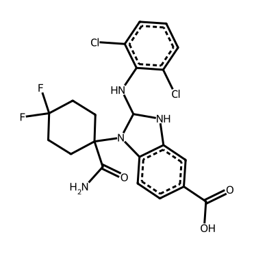 NC(=O)C1(N2c3ccc(C(=O)O)cc3NC2Nc2c(Cl)cccc2Cl)CCC(F)(F)CC1